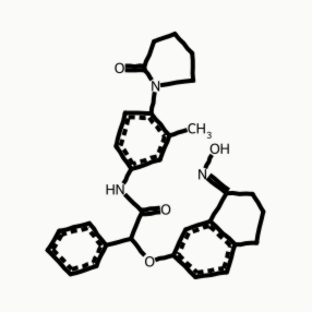 Cc1cc(NC(=O)C(Oc2ccc3c(c2)/C(=N/O)CCC3)c2ccccc2)ccc1N1CCCCC1=O